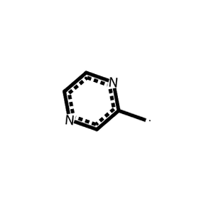 [CH2]c1cnccn1